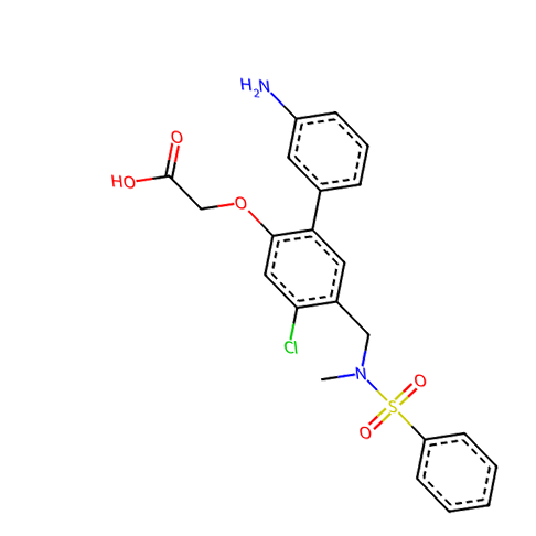 CN(Cc1cc(-c2cccc(N)c2)c(OCC(=O)O)cc1Cl)S(=O)(=O)c1ccccc1